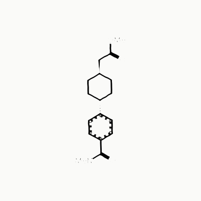 CNC(=O)c1ccc([C@H]2CC[C@H](CC(=O)OC)CC2)cc1